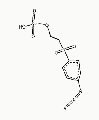 O=S(=O)(O)OCCS(=O)(=O)c1ccc(N=C=S)cc1